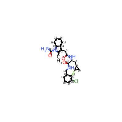 Cc1c(CC(=O)N[C@@H](CC2CC2)C(=O)NCc2cccc(Cl)c2F)c2ccccc2n1C(N)=O